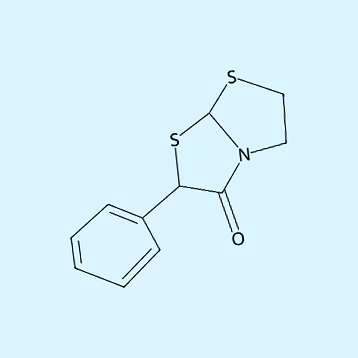 O=C1C(c2ccccc2)SC2SCCN12